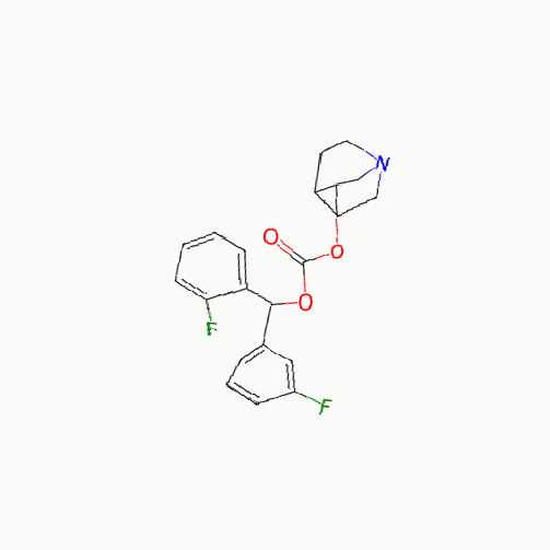 O=C(OC(c1cccc(F)c1)c1ccccc1F)OC1CN2CCC1CC2